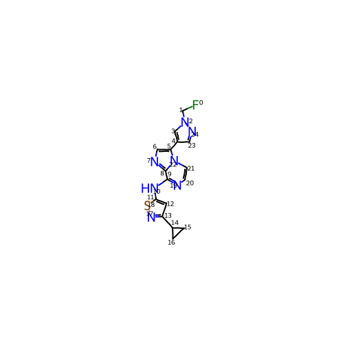 FCn1cc(-c2cnc3c(Nc4cc(C5CC5)ns4)nccn23)cn1